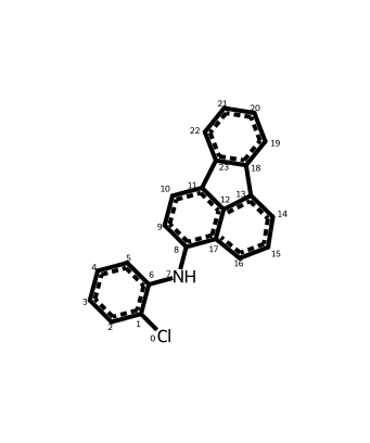 Clc1ccccc1Nc1ccc2c3c(cccc13)-c1ccccc1-2